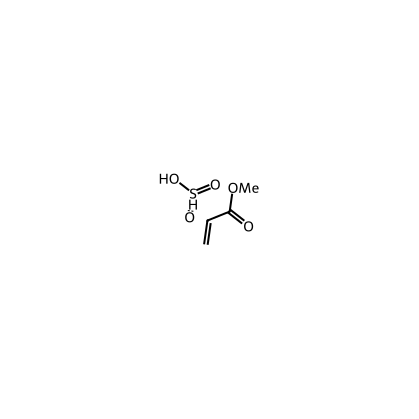 C=CC(=O)OC.O=[SH](=O)O